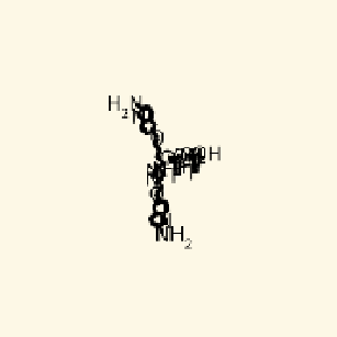 Nc1ccc2cc(OCCCCn3cc(COc4ccc5nc(N)ccc5c4)nn3)ccc2n1.O=C(O)C(F)(F)F.O=C(O)C(F)(F)F